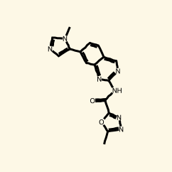 Cc1nnc(C(=O)Nc2ncc3ccc(-c4cncn4C)cc3n2)o1